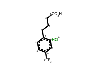 Cl.O=C(O)CCCc1ccc(C(F)(F)F)cc1